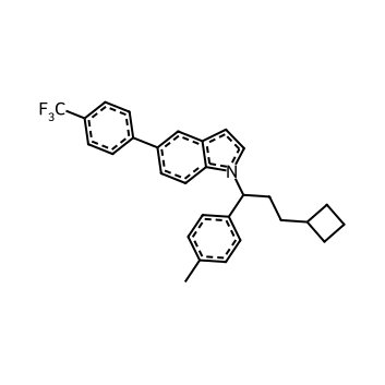 Cc1ccc(C(CCC2CCC2)n2ccc3cc(-c4ccc(C(F)(F)F)cc4)ccc32)cc1